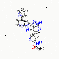 CCCC(=O)Nc1cncc(-c2cnc3[nH]nc(-c4cc5c(-c6ccccn6)ccnc5[nH]4)c3c2)c1